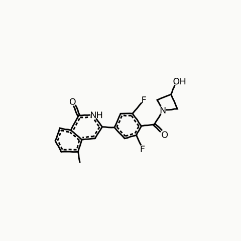 Cc1cccc2c(=O)[nH]c(-c3cc(F)c(C(=O)N4CC(O)C4)c(F)c3)cc12